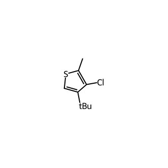 Cc1scc(C(C)(C)C)c1Cl